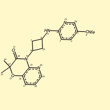 COc1ccc(NC2CC(N3C(=O)C(C)(C)Oc4cccnc43)C2)nc1